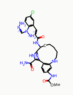 COC(=O)Nc1ccc2c(c1)NCCCCCC(NC(=O)/C=C/c1cc(Cl)ccc1N(N)/C=N\N)c1nc-2c(C(N)=O)[nH]1